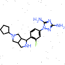 Nc1nc(N)n(-c2ccc(C3NCC4CN(C5CCCC5)CC43)c(F)c2)n1